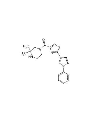 CC1(C)CN(C(=O)c2csc(-c3cnn(-c4ccccc4)c3)n2)CCN1